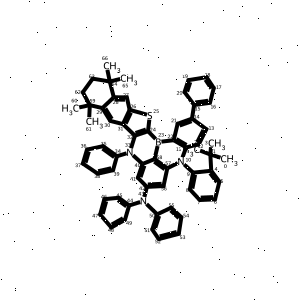 CC(C)(C)c1ccccc1N1c2ccc(-c3ccccc3)cc2B2c3sc4cc5c(cc4c3N(c3ccccc3)c3cc(N(c4ccccc4)c4ccccc4)cc1c32)C(C)(C)CCC5(C)C